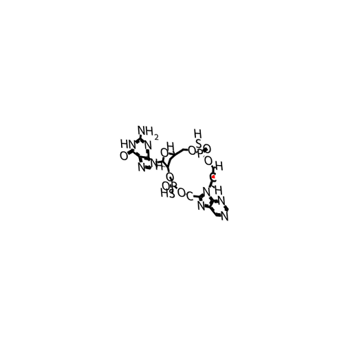 Nc1nc2c(ncn2C2O[C@@H]3COP(=O)(S)O[C@H]4C[C@H](C4)n4c(nc5cncnc54)COP(=O)(S)O[C@@H]2C3)c(=O)[nH]1